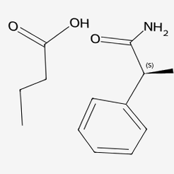 CCCC(=O)O.C[C@H](C(N)=O)c1ccccc1